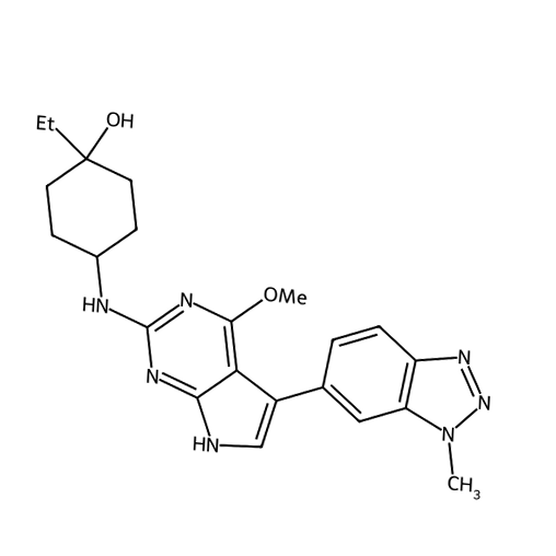 CCC1(O)CCC(Nc2nc(OC)c3c(-c4ccc5nnn(C)c5c4)c[nH]c3n2)CC1